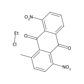 CCCl.Cc1ccc([N+](=O)[O-])c2c1C(=O)c1c(cccc1[N+](=O)[O-])C2=O